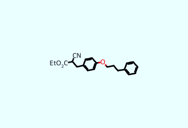 CCOC(=O)C(C#N)Cc1ccc(OCCCc2ccccc2)cc1